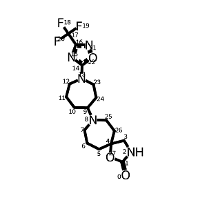 O=C1NCC2(CCCN(C3CCCN(c4nc(C(F)(F)F)no4)CC3)CC2)O1